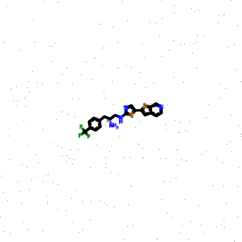 N[C@@H](CNc1ncc(-c2cc3ccncc3s2)s1)Cc1ccc(C(F)(F)F)cc1